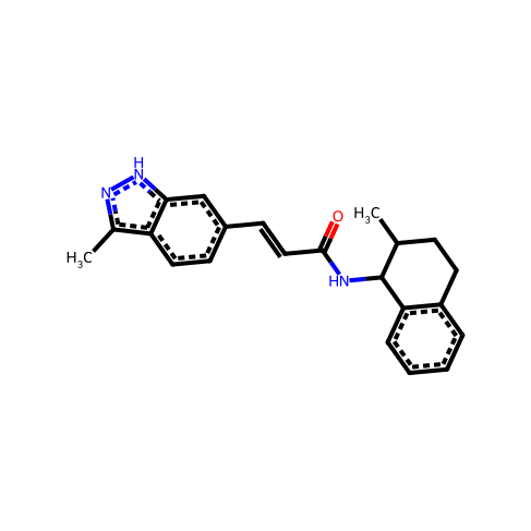 Cc1n[nH]c2cc(/C=C/C(=O)NC3c4ccccc4CCC3C)ccc12